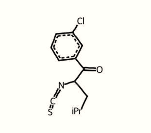 CC(C)CC(N=C=S)C(=O)c1cccc(Cl)c1